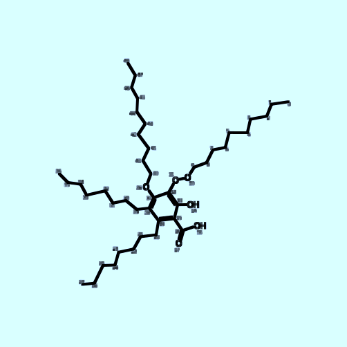 CCCCCCCCCCOOc1c(O)c(C(=O)O)c(CCCCCCCC)c(CCCCCCCC)c1OCCCCCCCCCC